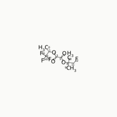 CC(OC(=O)C(=O)OC(C)(C)CF)C(F)(F)F